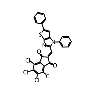 O=C1C(=Cc2nc3sc(-c4ccccc4)cc3n2-c2ccccc2)C(=O)c2c(Cl)c(Cl)c(Cl)c(Cl)c21